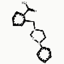 O=C(O)c1ccccc1CN1CCN(c2ccccc2)CC1